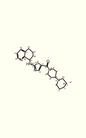 C[C@@H]1CCCN(C2CCN(C(=O)c3cnc(NC4CCCc5cccnc54)s3)CC2)C1